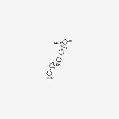 COc1ccc(Br)cc1S(=O)(=O)N1CCN(c2ccc(Nc3nccc(-c4ccc(NC(C)=O)cc4)n3)cc2)CC1